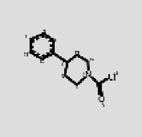 O=C(Cl)N1CCC(c2ccccc2)CC1